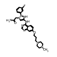 CN1CCN(CCCOc2ccc3c(NC4=CN(CC(N)=O)N(c5cccc(F)c5)N4)ncnc3c2)CC1